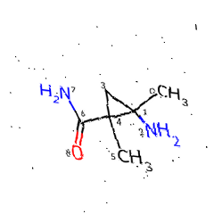 CC1(N)CC1(C)C(N)=O